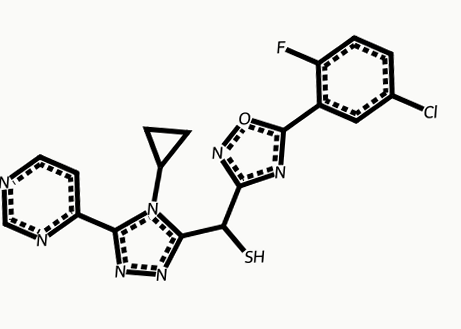 Fc1ccc(Cl)cc1-c1nc(C(S)c2nnc(-c3ccncn3)n2C2CC2)no1